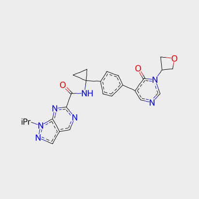 CC(C)n1ncc2cnc(C(=O)NC3(c4ccc(-c5cncn(C6COC6)c5=O)cc4)CC3)nc21